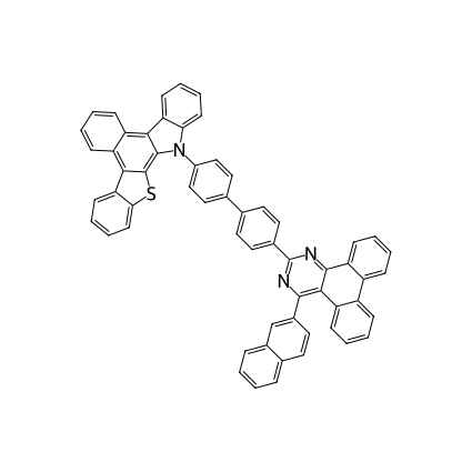 c1ccc2cc(-c3nc(-c4ccc(-c5ccc(-n6c7ccccc7c7c8ccccc8c8c9ccccc9sc8c76)cc5)cc4)nc4c5ccccc5c5ccccc5c34)ccc2c1